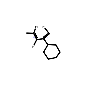 CC/C=C(\C(F)=C(\F)CC)C1CCCCC1